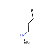 CCCCNCCCC(C)C